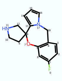 Fc1ccc2c(c1)OC1(CCNC1)c1cccn1C2